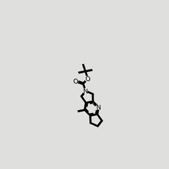 Cc1c2c(nc3c1CN(C(=O)OC(C)(C)C)C3)CCC2